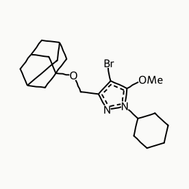 COc1c(Br)c(COC23CC4CC(CC(C4)C2)C3)nn1C1CCCCC1